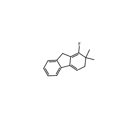 CC1(C)CC=C2C(=C1F)Cc1ccccc12